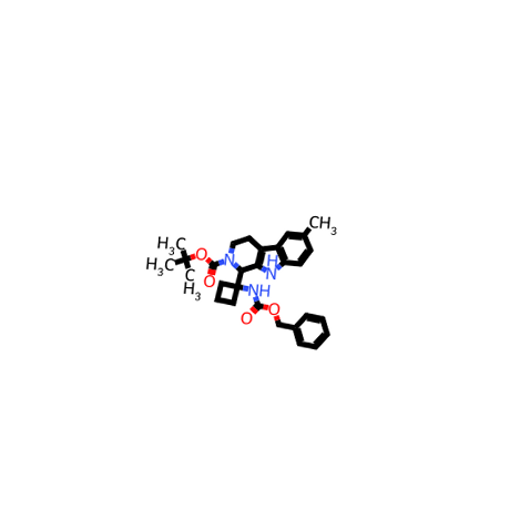 Cc1ccc2[nH]c3c(c2c1)CCN(C(=O)OC(C)(C)C)C3C1(NC(=O)OCc2ccccc2)CCC1